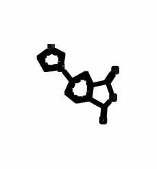 O=C1OC(=O)c2cc(-n3ccnc3)ccc21